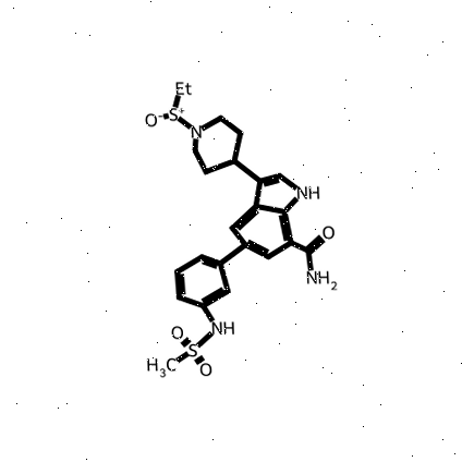 CC[S+]([O-])N1CCC(c2c[nH]c3c(C(N)=O)cc(-c4cccc(NS(C)(=O)=O)c4)cc23)CC1